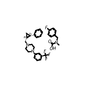 CN(Cc1ccc(F)cc1)C(=O)O.FC(F)(F)c1cccc(N2CCN(C[C@@H]3C[C@@H]3c3ccccc3)CC2)c1